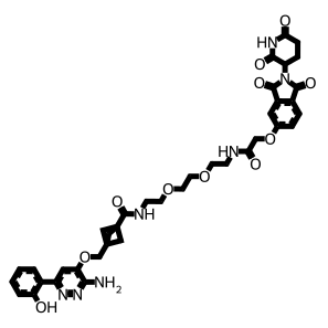 Nc1nnc(-c2ccccc2O)cc1OCC12CC(C(=O)NCCOCCOCCNC(=O)COc3ccc4c(c3)C(=O)N(C3CCC(=O)NC3=O)C4=O)(C1)C2